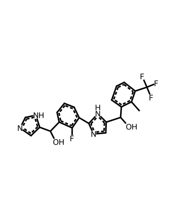 Cc1c(C(O)c2cnc(-c3cccc(C(O)c4cnc[nH]4)c3F)[nH]2)cccc1C(F)(F)F